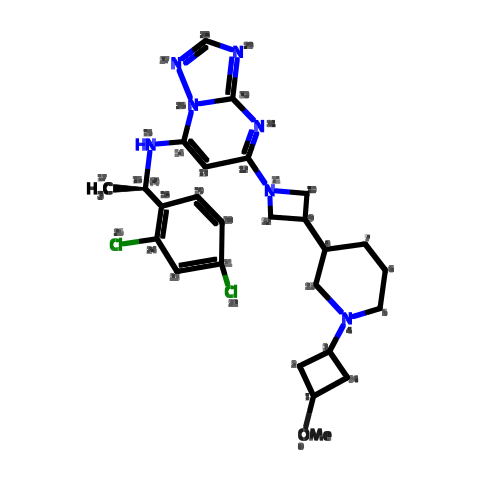 COC1CC(N2CCCC(C3CN(c4cc(N[C@H](C)c5ccc(Cl)cc5Cl)n5ncnc5n4)C3)C2)C1